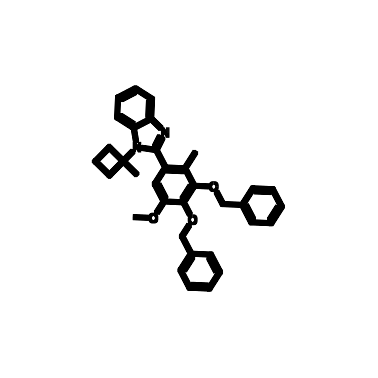 COc1cc(-c2nc3ccccc3n2C2(C)CCC2)c(C)c(OCc2ccccc2)c1OCc1ccccc1